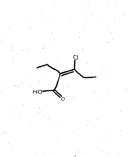 CCC(Cl)=C(CC)C(=O)O